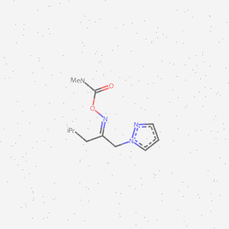 CNC(=O)ON=C(CC(C)C)Cn1cccn1